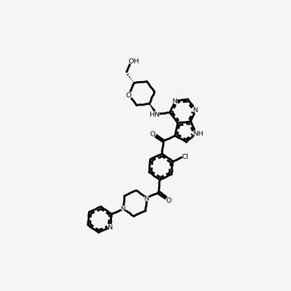 O=C(c1ccc(C(=O)N2CCN(c3ccccn3)CC2)cc1Cl)c1c[nH]c2ncnc(N[C@@H]3CC[C@@H](CO)OC3)c12